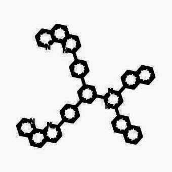 c1ccc2cc(-c3cc(-c4ccc5ccccc5c4)nc(-c4cc(-c5ccc(-c6ccc7ccc8cccnc8c7n6)cc5)cc(-c5ccc(-c6ccc7ccc8cccnc8c7n6)cc5)c4)n3)ccc2c1